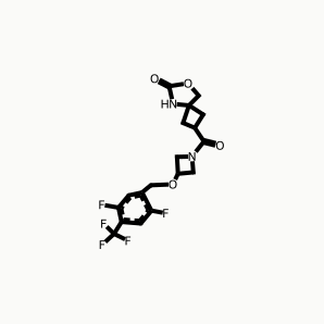 O=C1NC2(CO1)CC(C(=O)N1CC(OCc3cc(F)c(C(F)(F)F)cc3F)C1)C2